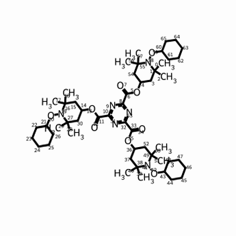 CC1(C)CC(OC(=O)c2nc(C(=O)OC3CC(C)(C)N(OC4CCCCC4)C(C)(C)C3)nc(C(=O)OC3CC(C)(C)N(OC4CCCCC4)C(C)(C)C3)n2)CC(C)(C)N1OC1CCCCC1